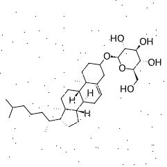 CC(C)CCC[C@@H](C)[C@H]1CC[C@H]2[C@@H]3CC=C4CC(O[C@@H]5O[C@H](CO)[C@@H](O)[C@H](O)[C@H]5O)CC[C@]4(C)[C@H]3CC[C@]12C